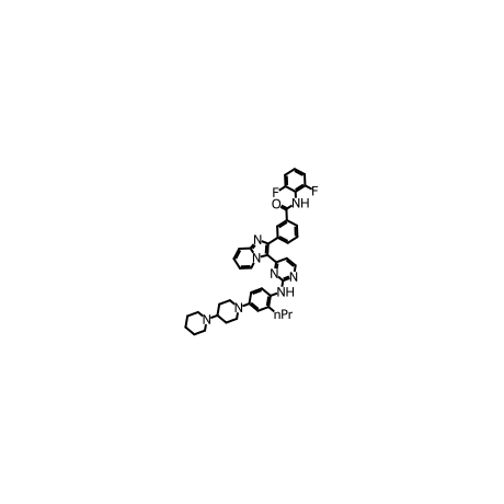 CCCc1cc(N2CCC(N3CCCCC3)CC2)ccc1Nc1nccc(-c2c(-c3cccc(C(=O)Nc4c(F)cccc4F)c3)nc3ccccn23)n1